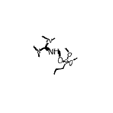 CCC[Si](OC)(OC)OC.CN(C)C(=N)N(C)C